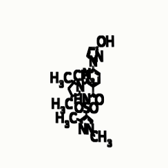 Cc1nn(C)cc1S(=O)(=O)NC(=O)c1ccc(-n2ccc(O)n2)nc1N1C[C@@H](C)CC1(C)C